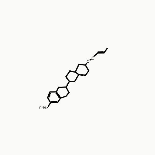 CC=CCOC1CCC2CC(C3CCc4cc(CCCCCC)ccc4C3)CCC2C1